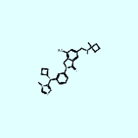 Cn1cnnc1[C@H](c1cccc(N2Cc3c(cc(CNC4(C)CCC4)cc3C(F)(F)F)C2=O)c1)C1CCC1